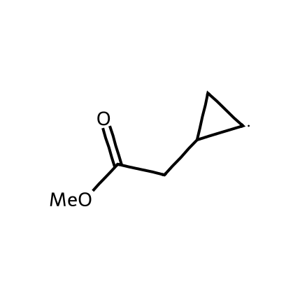 COC(=O)CC1[CH]C1